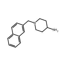 NC1CCN(Cc2ccc3ccccc3c2)CC1